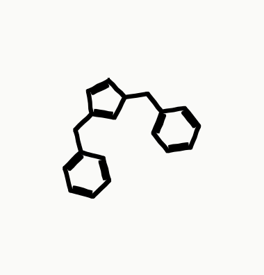 [C]1=CC(Cc2ccccc2)=CC1Cc1ccccc1